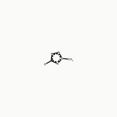 Cn1nnc([O])n1